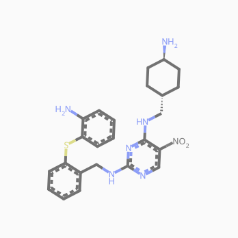 Nc1ccccc1Sc1ccccc1CNc1ncc([N+](=O)[O-])c(NC[C@H]2CC[C@H](N)CC2)n1